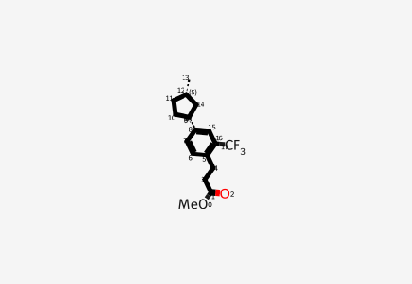 COC(=O)CCc1ccc([C@@H]2CC[C@H](C)C2)cc1C(F)(F)F